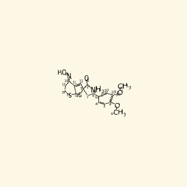 COc1ccc(CCC2(C(N)=O)C=C3C(=NO)CCSC3S2)cc1OC